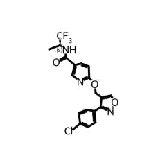 C[C@H](NC(=O)c1ccc(OCc2conc2-c2ccc(Cl)cc2)nc1)C(F)(F)F